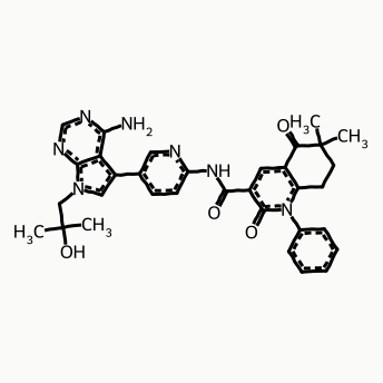 CC(C)(O)Cn1cc(-c2ccc(NC(=O)c3cc4c(n(-c5ccccc5)c3=O)CCC(C)(C)C4=O)nc2)c2c(N)ncnc21